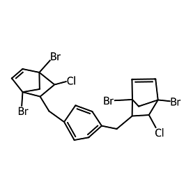 ClC1C(Cc2ccc(CC3C(Cl)C4(Br)C=CC3(Br)C4)cc2)C2(Br)C=CC1(Br)C2